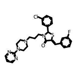 O=C1C(=Cc2cccc(F)c2)SC(c2cccc(Cl)c2)N1CCCN1CCN(c2ncccn2)CC1